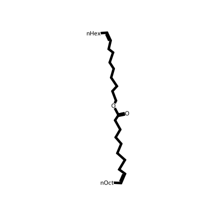 CCCCCC/C=C\CCCCCCCCOC(=O)CCCCCCC/C=C\CCCCCCCC